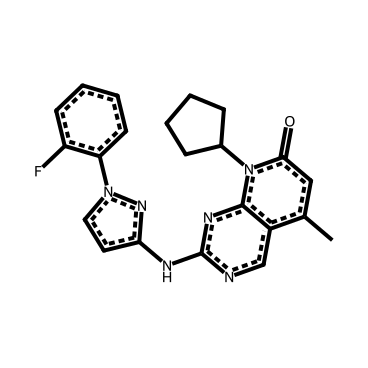 Cc1cc(=O)n(C2CCCC2)c2nc(Nc3ccn(-c4ccccc4F)n3)ncc12